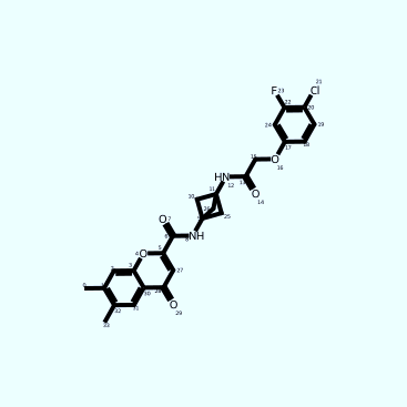 Cc1cc2oc(C(=O)NC34CC(NC(=O)COc5ccc(Cl)c(F)c5)(C3)C4)cc(=O)c2cc1C